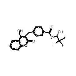 O=C(O[C@@H](O)C(F)(F)F)c1ccc(Cc2c(O)c3ccccc3oc2=O)cc1